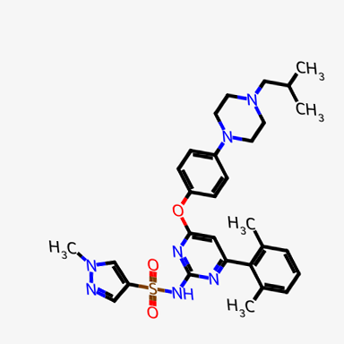 Cc1cccc(C)c1-c1cc(Oc2ccc(N3CCN(CC(C)C)CC3)cc2)nc(NS(=O)(=O)c2cnn(C)c2)n1